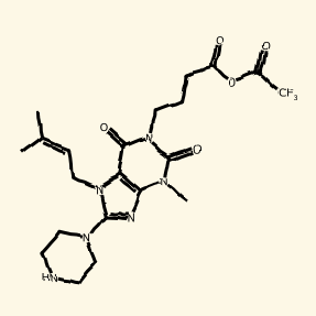 CC(C)=CCn1c(N2CCNCC2)nc2c1c(=O)n(CCCC(=O)OC(=O)C(F)(F)F)c(=O)n2C